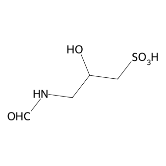 O=CNCC(O)CS(=O)(=O)O